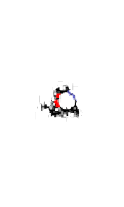 COc1cc2cc(c1Cl)N(C)C(=O)C[C@H](OC(=O)[C@H](C)N(C)C(=O)CCC(C)(C)SC)[C@]1(C)O[C@H]1[C@H](C)[C@@H]1C[C@@](O)(NC(=O)O1)[C@H](OC)/C=C/C=C(\C)C2